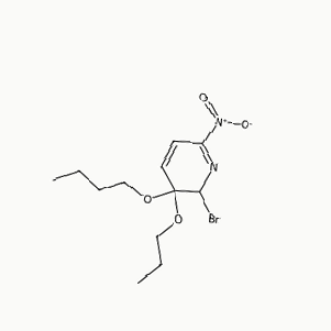 CCCCOC1(OCCC)C=CC([N+](=O)[O-])=NC1Br